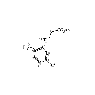 CCOC(=O)CCNc1nc(Cl)ncc1C(F)(F)F